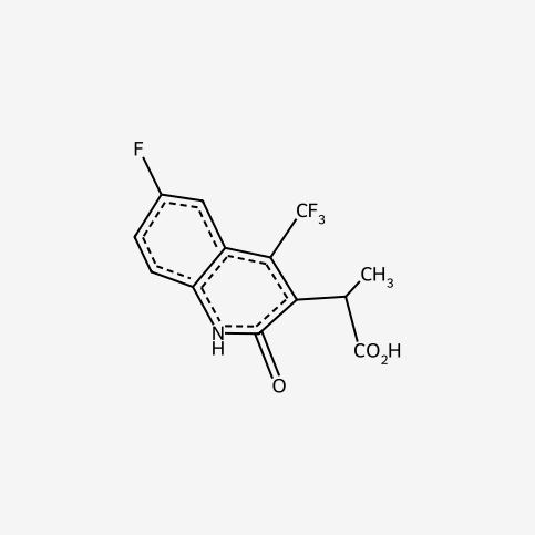 CC(C(=O)O)c1c(C(F)(F)F)c2cc(F)ccc2[nH]c1=O